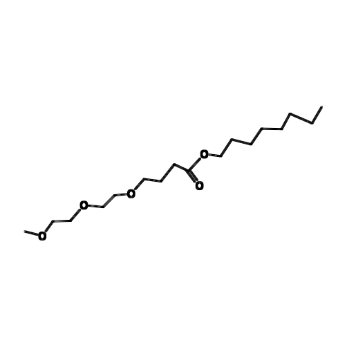 CCCCCCCCOC(=O)CCCOCCOCCOC